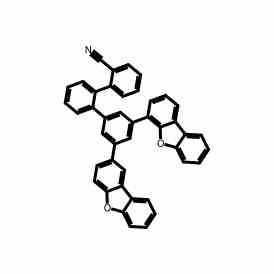 N#Cc1ccccc1-c1ccccc1-c1cc(-c2ccc3oc4ccccc4c3c2)cc(-c2cccc3c2oc2ccccc23)c1